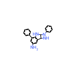 Nc1cc(-c2ccccc2)c2c(c1)C1NN(c3ccccc3)C1N2